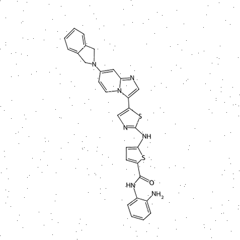 Nc1ccccc1NC(=O)c1ccc(Nc2ncc(-c3cnc4cc(N5Cc6ccccc6C5)ccn34)s2)s1